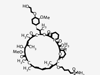 CO[C@@H]1C[C@H](C[C@@H](C)[C@@H]2CC(=O)[C@H](C)/C=C(\C)[C@@H](O)[C@@H](OC)C(=O)[C@H](C)C[C@H](C)/C=C/C=C/C=C(\C)[C@H](OCCCCS(N)(=O)=O)C[C@@H]3CC[C@@H](C)[C@@](O)(O3)C(=O)C(=O)N3CCCC[C@H]3C(=O)O2)CC[C@H]1OCCO